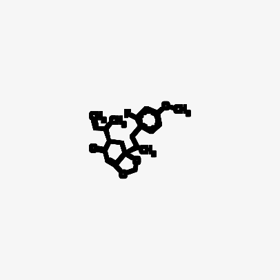 C=CC(C)[C@H]1C[C@]2(C(C)Cc3ccc(OC)cc3F)OCOC2=CC1=O